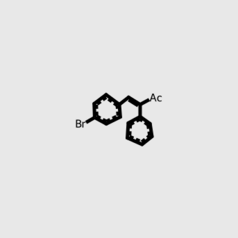 CC(=O)C(=Cc1ccc(Br)cc1)c1ccccc1